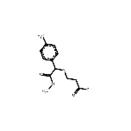 COC(=O)C(SCCC(C)=O)c1ccc(C)cc1